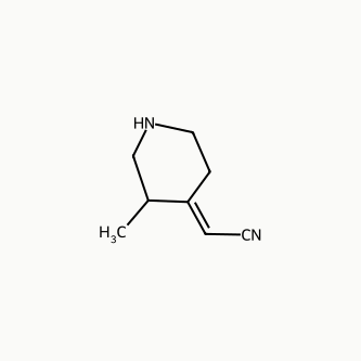 CC1CNCCC1=CC#N